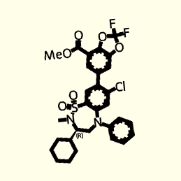 COC(=O)c1cc(-c2cc3c(cc2Cl)N(c2ccccc2)C[C@@H](C2CCCCC2)N(C)S3(=O)=O)cc2c1OC(F)(F)O2